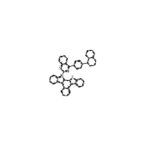 c1ccc2c(-c3ccc(-c4nc(-n5c6ccccc6c6c7ccccc7c7c8ccccc8sc7c65)nc5ccccc45)cc3)cccc2c1